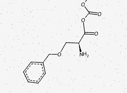 CC(C)(C)OC(=O)OC(=O)[C@@H](N)COCc1ccccc1